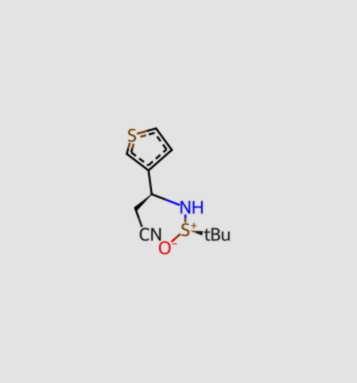 CC(C)(C)[S@@+]([O-])N[C@@H](CC#N)c1ccsc1